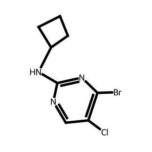 Clc1cnc(NC2CCC2)nc1Br